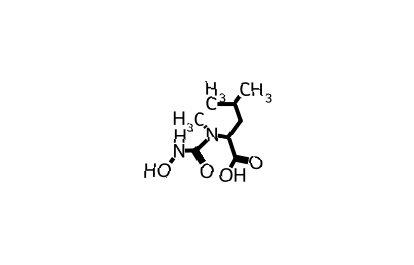 CC(C)CC(C(=O)O)N(C)C(=O)NO